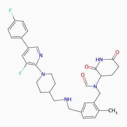 Cc1ccc(CNCC2CCN(c3ncc(-c4ccc(F)cc4)cc3F)CC2)cc1CN(C=O)C1CCC(=O)NC1=O